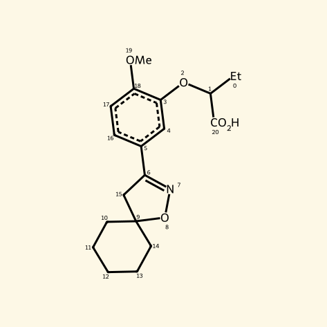 CCC(Oc1cc(C2=NOC3(CCCCC3)C2)ccc1OC)C(=O)O